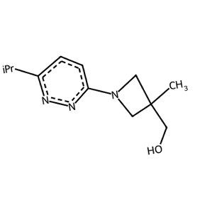 CC(C)c1ccc(N2CC(C)(CO)C2)nn1